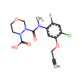 C#CCOc1cc(N(C)C(=O)N2COCCN2C(=O)O)c(F)cc1Cl